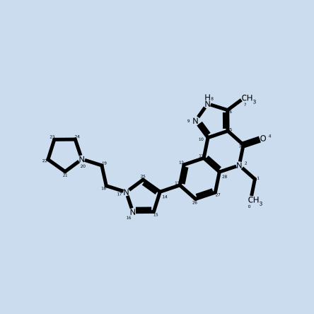 CCn1c(=O)c2c(C)[nH]nc2c2cc(-c3cnn(CCN4CCCC4)c3)ccc21